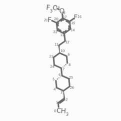 C/C=C/[C@H]1CC[C@H]([C@H]2CC[C@H](CCc3cc(F)c(OC(F)(F)F)c(F)c3)CC2)CC1